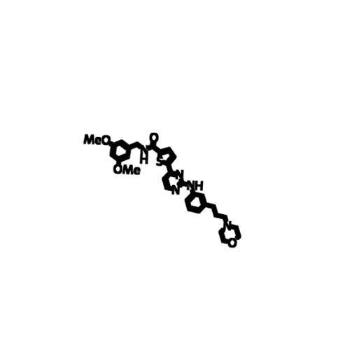 COc1cc(CNC(=O)c2ccc(-c3ccnc(Nc4cccc(CCCN5CCOCC5)c4)n3)s2)cc(OC)c1